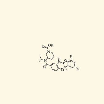 CC(C)N(C(=O)c1ccc2c(c1)NC(=O)C(C)(c1cc(F)cc(F)c1)O2)[C@@H]1CCCN(C(=O)O)C1